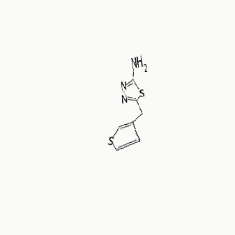 Nc1nnc(Cc2ccsc2)s1